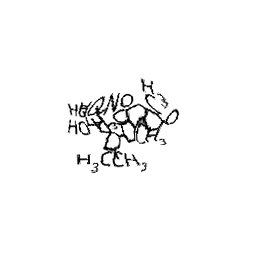 CC1C(=O)CCC2(C)C1CCC1(C)C3CCC4(CC(CC(O)N=O)C(O)CO)CCC(C)(C)CC4C3=CCC12